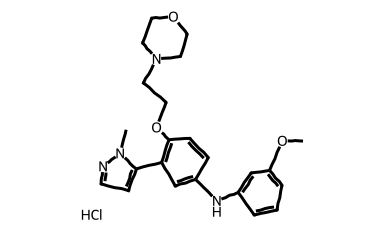 COc1cccc(Nc2ccc(OCCN3CCOCC3)c(-c3ccnn3C)c2)c1.Cl